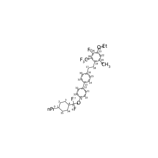 CCCC1CCC(C(F)(F)Oc2ccc(-c3ccc(CCc4c(C)cc(OCC)c(F)c4C(F)(F)F)cc3)cc2)CC1